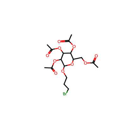 CC(=O)OCC1OC(OCCCBr)C(OC(C)=O)C(OC(C)=O)C1OC(C)=O